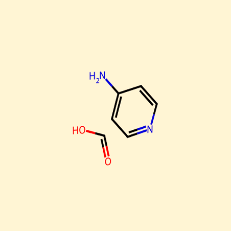 Nc1ccncc1.O=CO